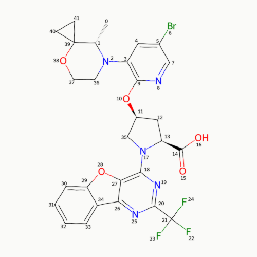 C[C@@H]1N(c2cc(Br)cnc2O[C@H]2C[C@@H](C(=O)O)N(c3nc(C(F)(F)F)nc4c3oc3ccccc34)C2)CCOC12CC2